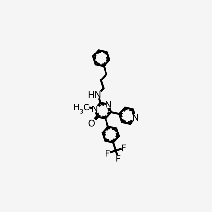 Cn1c(NCCCc2ccccc2)nc(-c2ccncc2)c(-c2ccc(C(F)(F)F)cc2)c1=O